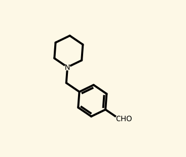 O=Cc1ccc(CN2CCCCC2)cc1